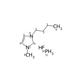 CCCCN1C=CN(C)C1.F.P